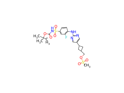 CC(C)(C)OC(=O)NS(=O)(=O)c1ccc(Nc2ncc(C3CC(COS(C)(=O)=O)C3)cn2)c(F)c1